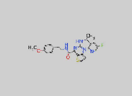 COc1ccc(CCNC(=O)c2nc(NC(C)c3cncc(F)c3)nc3ccsc23)cc1